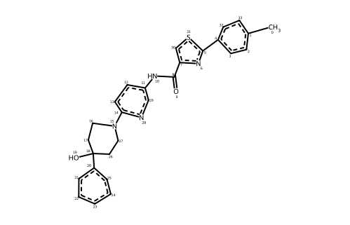 Cc1ccc(-c2nc(C(=O)Nc3ccc(N4CCC(O)(c5ccccc5)CC4)nc3)cs2)cc1